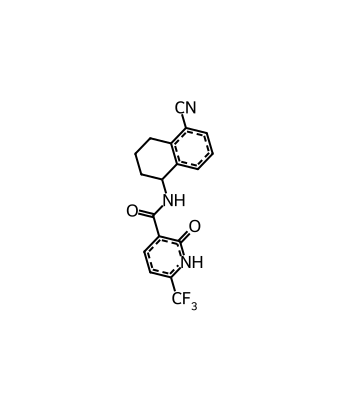 N#Cc1cccc2c1CCCC2NC(=O)c1ccc(C(F)(F)F)[nH]c1=O